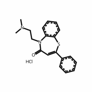 CN(C)CCN1C(=O)C=C(c2ccccc2)Sc2ccccc21.Cl